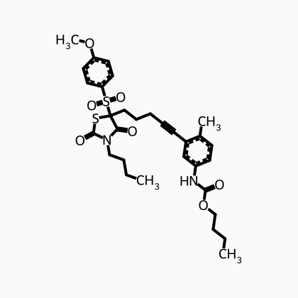 CCCCOC(=O)Nc1ccc(C)c(C#CCCCC2(S(=O)(=O)c3ccc(OC)cc3)SC(=O)N(CCCC)C2=O)c1